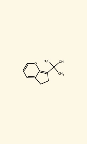 CC(C)(O)C1=C2OC=CC=C2CC1